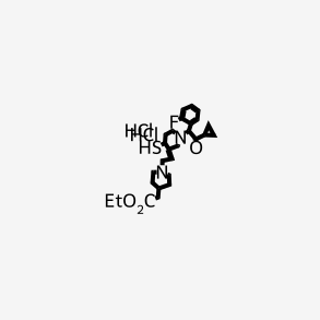 CCOC(=O)CC1CCN(CC=C2CN(C(C(=O)C3CC3)c3ccccc3F)CCC2S)CC1.Cl.Cl